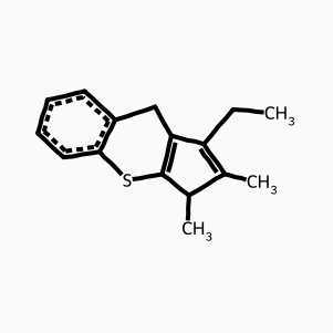 CCC1=C(C)C(C)C2=C1Cc1ccccc1S2